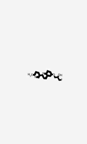 Cc1ccc(-c2ccc3cc(OCC(O)CF)ccc3n2)cn1